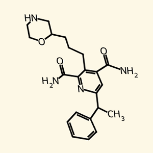 CC(c1ccccc1)c1cc(C(N)=O)c(CCCC2CNCCO2)c(C(N)=O)n1